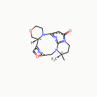 C[C@@]1(C(F)(F)F)CCn2c3nc(cc2=O)N2CCOC[C@H]2c2coc(n2)CN31